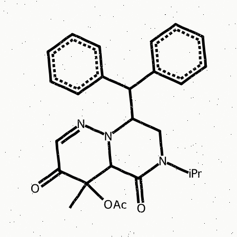 CC(=O)OC1(C)C(=O)C=NN2C(C(c3ccccc3)c3ccccc3)CN(C(C)C)C(=O)C21